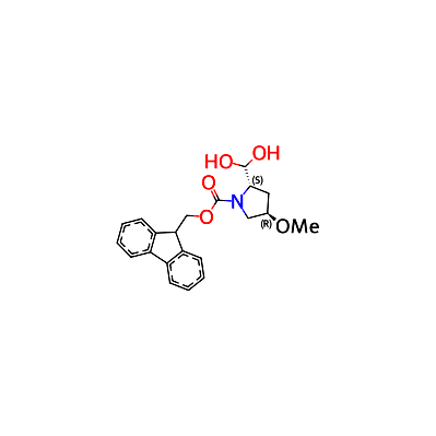 CO[C@@H]1C[C@@H](C(O)O)N(C(=O)OCC2c3ccccc3-c3ccccc32)C1